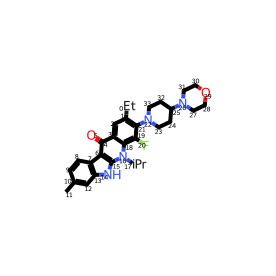 CCc1cc2c(=O)c3c4ccc(C)cc4[nH]c3n(C(C)C)c2c(F)c1N1CCC(N2CCOCC2)CC1